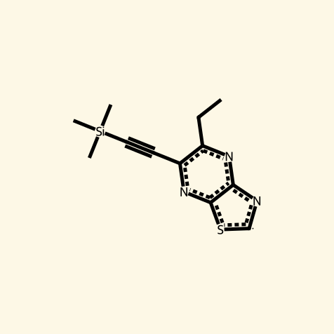 CCc1nc2n[c]sc2nc1C#C[Si](C)(C)C